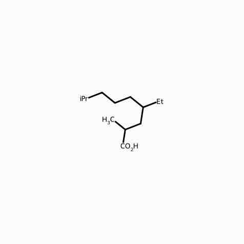 CCC(CCCC(C)C)CC(C)C(=O)O